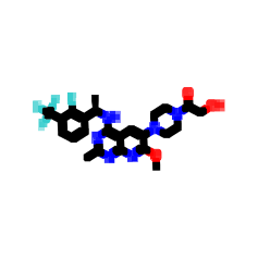 COc1nc2nc(C)nc(N[C@H](C)c3cccc(C(F)(F)F)c3F)c2cc1N1CCN(C(=O)CO)CC1